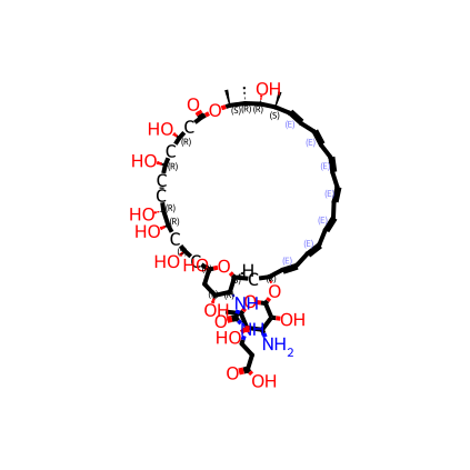 CC1OC(O[C@H]2/C=C/C=C/C=C/C=C/C=C/C=C/C=C/[C@H](C)[C@@H](O)[C@@H](C)[C@H](C)OC(=O)C[C@H](O)C[C@H](O)CC[C@@H](O)[C@H](O)C[C@H](O)C[C@]3(O)C[C@H](O)[C@@H](NC(=O)NCCC(=O)O)[C@H](C2)O3)C(O)C(N)C1O